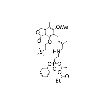 CCC(=O)O[C@H](C)OP(=O)(CCNC/C(C)=C/Cc1c(OC)c(C)c2c(c1OCC[Si](C)(C)C)C(=O)OC2)Oc1ccccc1